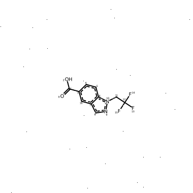 O=C(O)c1ccc2c(cnn2CC(F)(F)F)c1